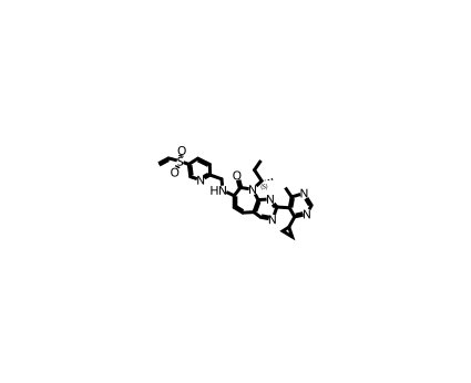 C=CS(=O)(=O)c1ccc(CNC2=C=Cc3cnc(-c4c(C)ncnc4C4CC4)nc3N([C@@H](C)CC)C2=O)nc1